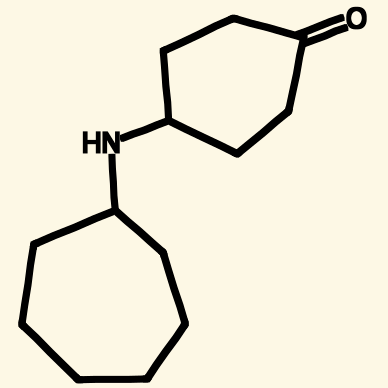 O=C1CCC(NC2CCCCCC2)CC1